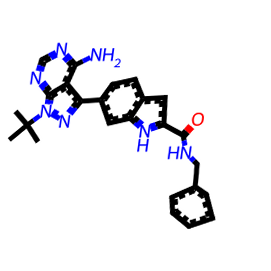 CC(C)(C)n1nc(-c2ccc3cc(C(=O)NCc4ccccc4)[nH]c3c2)c2c(N)ncnc21